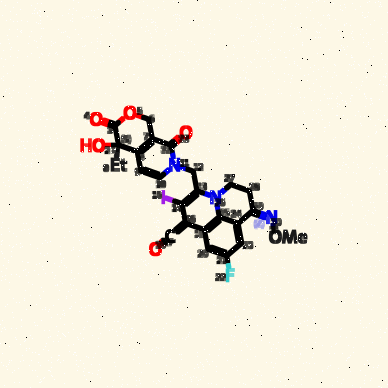 CC[C@@]1(O)C(=O)OCc2c1ccn(CC1=C(I)C(=C=O)c3cc(F)cc4c3N1CC/C4=N/OC)c2=O